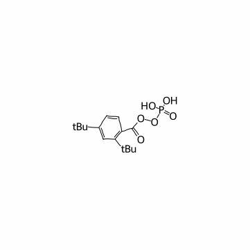 CC(C)(C)c1ccc(C(=O)OOP(=O)(O)O)c(C(C)(C)C)c1